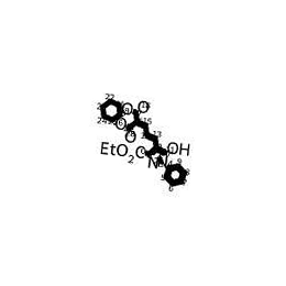 CCOC(=O)c1nn(-c2ccccc2)c(O)c1/C=C/C=C1C(=O)OC2(CCCCC2)OC1=O